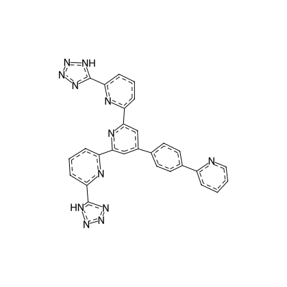 c1ccc(-c2ccc(-c3cc(-c4cccc(-c5nnn[nH]5)n4)nc(-c4cccc(-c5nnn[nH]5)n4)c3)cc2)nc1